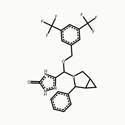 O=c1[nH]nc(C(OCc2cc(C(F)(F)F)cc(C(F)(F)F)c2)N2CC3CC3C2c2ccccc2)[nH]1